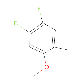 COc1cc(F)c(F)cc1C